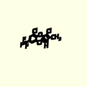 Cc1[nH]nc(Oc2c(Cl)cc(C(F)(F)F)cc2Cl)c1Cl